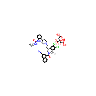 CNC(=O)Nc1ccccc1C1CCN(CCC(CN(C)C(=O)c2cc(C#N)cc3ccccc23)c2ccc(Cl)c(Cl)c2)CC1.O=C(O)CC(O)(CC(=O)O)C(=O)O